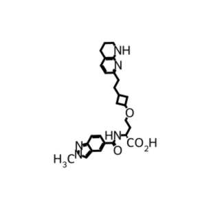 Cn1cc2cc(C(=O)N[C@@H](CCOC3CC(CCc4ccc5c(n4)NCCC5)C3)C(=O)O)ccc2n1